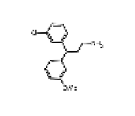 COc1cccc([C@H](CCN)c2cccc(Cl)c2)c1